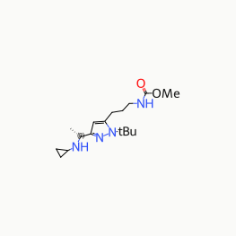 COC(=O)NCCCc1cc([C@@H](C)NC2CC2)nn1C(C)(C)C